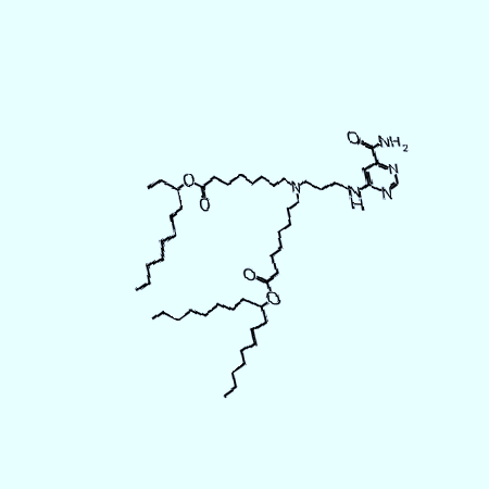 CCCCCCCCC(CC)OC(=O)CCCCCCCN(CCCCCCCC(=O)OC(CCCCCCCC)CCCCCCCC)CCCNc1cc(C(N)=O)ncn1